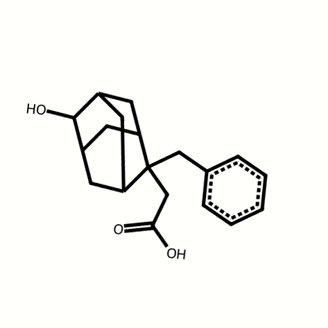 O=C(O)CC1(Cc2ccccc2)C2CC3CC1CC(C2)C3O